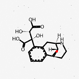 O=C(O)[C@@H](O)[C@](O)(C(=O)O)c1cccc2c1C[C@H]1NCC[C@@]23CCCC[C@@H]13